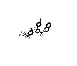 C[C@]1(c2ccc(F)cc2)CN(C(=O)N2CCc3ccccc3C2)C[C@H]1c1ccc(C(O)(C(F)(F)F)C(F)(F)F)cc1